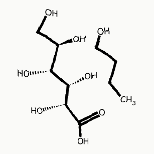 CCCCO.O=C(O)[C@H](O)[C@@H](O)[C@H](O)[C@H](O)CO